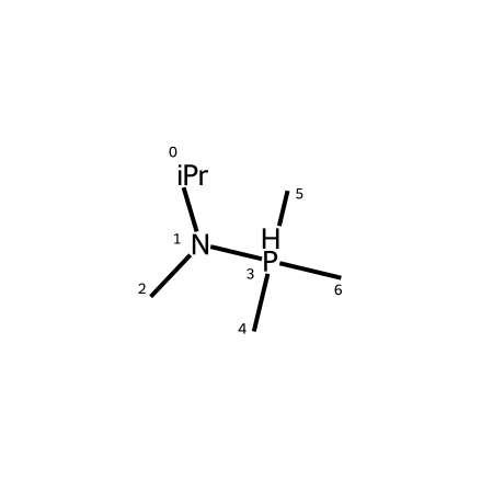 CC(C)N(C)[PH](C)(C)C